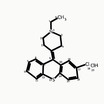 CCN1CCC(=C2c3ccccc3Sc3ccc(Cl)cc32)CC1.Cl